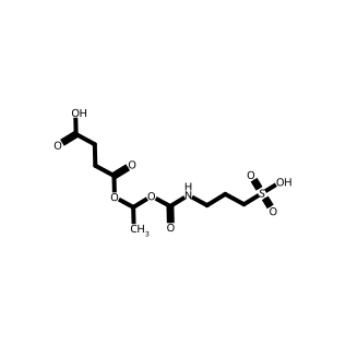 CC(OC(=O)CCC(=O)O)OC(=O)NCCCS(=O)(=O)O